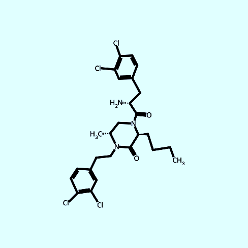 CCCC[C@H]1C(=O)N(CCc2ccc(Cl)c(Cl)c2)[C@H](C)CN1C(=O)[C@H](N)Cc1ccc(Cl)c(Cl)c1